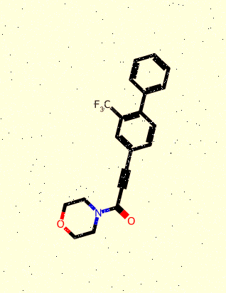 O=C(C#Cc1ccc(-c2ccccc2)c(C(F)(F)F)c1)N1CCOCC1